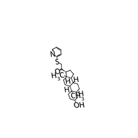 C[C@]12CCC(O)C[C@H]1CC[C@@H]1[C@@H]2CC[C@]2(C)[C@@H](C(=O)CSc3ccccn3)CC[C@@H]12